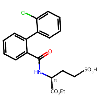 CCOC(=O)[C@H](CCS(=O)(=O)O)NC(=O)c1ccccc1-c1ccccc1Cl